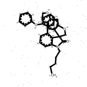 CCCCCN1C(=O)C2(COc3cc4c(cc32)OCO4)c2c(-c3ccccc3Oc3ccccc3)cccc21